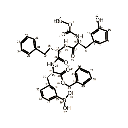 CC(C)(C)OC(=O)N[C@@H](Cc1cccc(O)c1)C(=O)N[C@@H](CCc1ccccc1)C(=O)N[C@@H](Cc1cccc(B(O)O)c1)C(=O)OCc1ccccc1